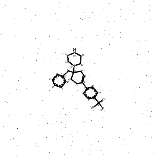 FC(F)(F)c1ccc(C2=CCC(Cc3ccccc3)(N3CCNCC3)CC2)cc1